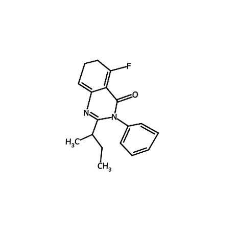 CCC(C)c1nc2c(c(=O)n1-c1ccccc1)=C(F)CCC=2